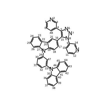 c1cncc(-c2nnn(-c3cccnc3)c2-c2ccc3c(c2)c2ccccc2n3-c2cccc(-n3c4ccccc4c4ccccc43)c2)c1